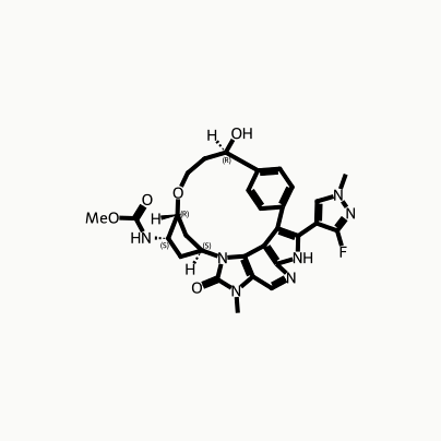 COC(=O)N[C@H]1C[C@H]2C[C@H]1OCC[C@@H](O)c1ccc(cc1)-c1c(-c3cn(C)nc3F)[nH]c3ncc4c(c13)n2c(=O)n4C